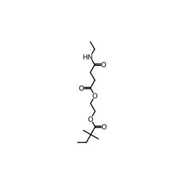 CCNC(=O)CCC(=O)OCCOC(=O)C(C)(C)CC